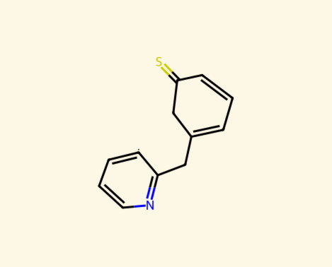 S=C1C=CC=C(Cc2[c]cccn2)C1